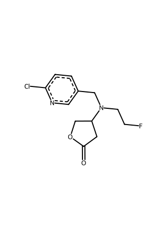 O=C1CC(N(CCF)Cc2ccc(Cl)nc2)CO1